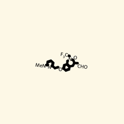 CNc1cccc(CCOc2ccc3c(c2)CN(CC(F)(F)F)C(=O)C(CC=O)C3)n1